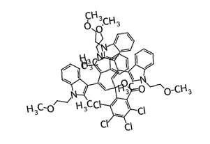 COCCn1c(C)c(C(=CC2(C=C(c3c(C)n(CCOC)c4ccccc34)c3c(C)n(CCOC)c4ccccc34)OC(=O)c3c(Cl)c(Cl)c(Cl)c(Cl)c32)c2c(C)n(CCOC)c3ccccc23)c2ccccc21